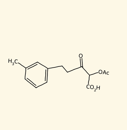 CC(=O)OC(C(=O)O)C(=O)CCc1cccc(C)c1